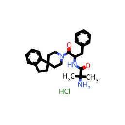 CC(C)(N)C(=O)NC(Cc1ccccc1)C(=O)N1CCC2(CCc3ccccc32)CC1.Cl